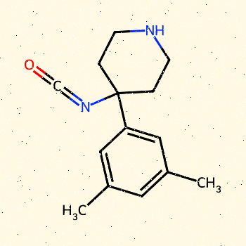 Cc1cc(C)cc(C2(N=C=O)CCNCC2)c1